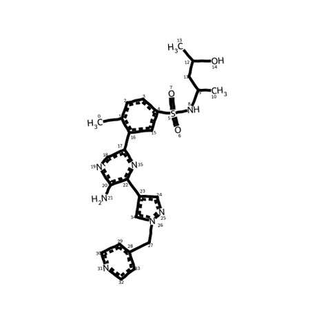 Cc1ccc(S(=O)(=O)NC(C)CC(C)O)cc1-c1cnc(N)c(-c2cnn(Cc3ccncc3)c2)n1